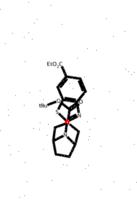 CCOC(=O)c1ccc2nc(N3C4CCC3CN(C(=O)OC(C)(C)C)C4)sc2c1